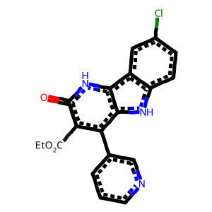 CCOC(=O)c1c(-c2cccnc2)c2[nH]c3ccc(Cl)cc3c2[nH]c1=O